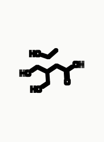 CCO.O=C(O)CC(CO)CO